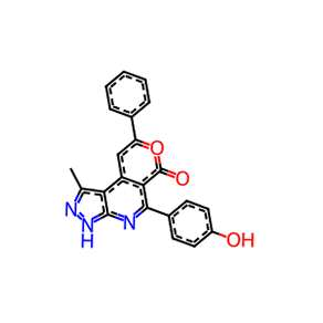 Cc1n[nH]c2nc(-c3ccc(O)cc3)c3c(=O)oc(-c4ccccc4)cc3c12